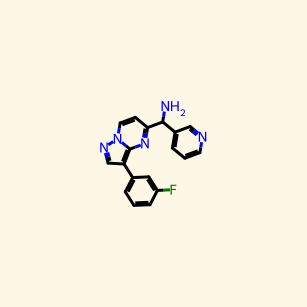 NC(c1cccnc1)c1ccn2ncc(-c3cccc(F)c3)c2n1